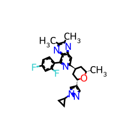 Cc1nc2cc([C@@H]3C[C@@H](c4cnn(C5CC5)c4)O[C@@H](C)C3)nc(-c3ccc(F)cc3F)c2nc1C